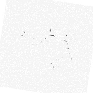 O=S(=O)(F)CCOC(F)(C(F)(F)F)C(F)(F)C1=C(OC2=C(C(F)(F)C(F)(OCCS(=O)(=O)F)C(F)(F)F)C(F)(F)C2(F)F)C(F)(F)C1(F)F